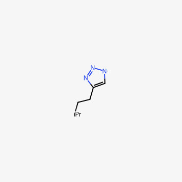 CC(C)CCC1=C[N]N=N1